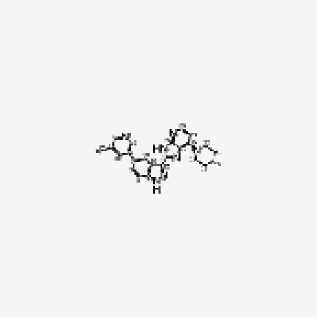 Fc1cncc(-c2ccc3[nH]nc(-c4nc5c(N6CCCCC6)ccnc5[nH]4)c3c2)c1